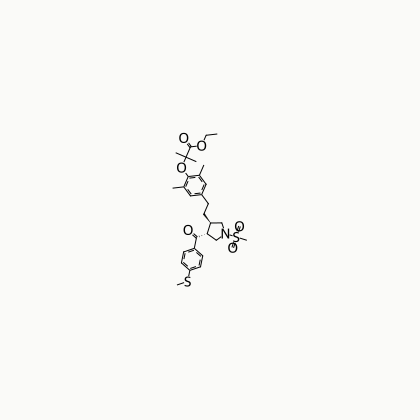 CCOC(=O)C(C)(C)Oc1c(C)cc(CC[C@H]2CN(S(C)(=O)=O)C[C@@H]2C(=O)c2ccc(SC)cc2)cc1C